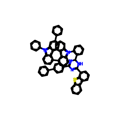 c1ccc(-c2ccc(C3=NC(c4ccccc4-n4c5ccccc5c5c(-c6cccc7c6c6ccc(-c8ccccc8)cc6n7-c6ccccc6)cccc54)NC(c4cccc5c4sc4ccccc45)=N3)cc2)cc1